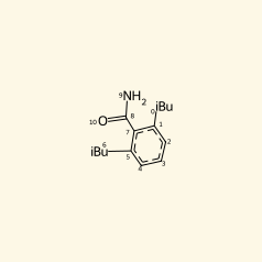 CCC(C)c1cccc(C(C)CC)c1C(N)=O